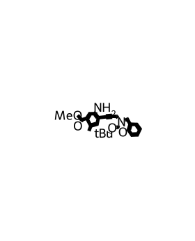 COC(=O)c1cc(N)c(C#CCN(Cc2ccccc2)C(=O)OC(C)(C)C)cc1C